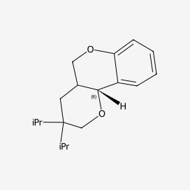 CC(C)C1(C(C)C)CO[C@H]2c3ccccc3OCC2C1